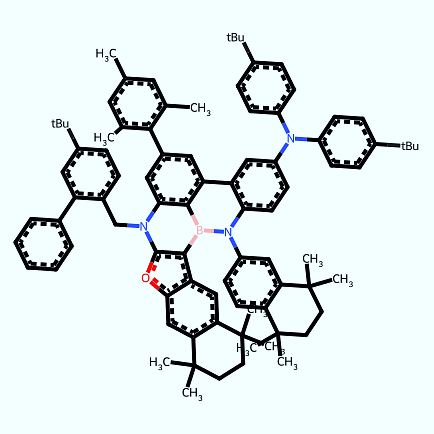 Cc1cc(C)c(-c2cc3c4c(c2)N(Cc2ccc(C(C)(C)C)cc2-c2ccccc2)c2oc5cc6c(cc5c2B4N(c2ccc4c(c2)C(C)(C)CCC4(C)C)c2ccc(N(c4ccc(C(C)(C)C)cc4)c4ccc(C(C)(C)C)cc4)cc2-3)C(C)(C)CCC6(C)C)c(C)c1